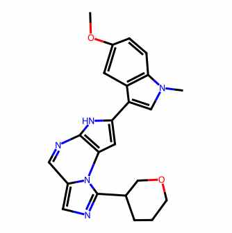 COc1ccc2c(c1)c(-c1cc3c(ncc4cnc(C5CCCOC5)n43)[nH]1)cn2C